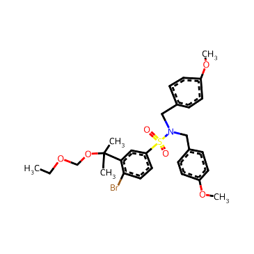 CCOCOC(C)(C)c1cc(S(=O)(=O)N(Cc2ccc(OC)cc2)Cc2ccc(OC)cc2)ccc1Br